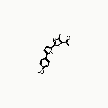 COc1ccc(-c2ccc(-c3nc(C)c(C(C)=O)s3)s2)cc1